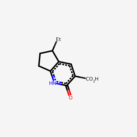 CCC1CCc2[nH]c(=O)c(C(=O)O)cc21